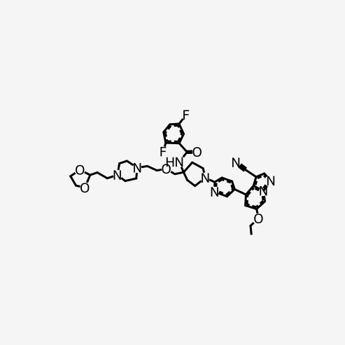 CCOc1cc(-c2ccc(N3CCC(COCCN4CCN(CCC5OCCO5)CC4)(NC(=O)c4cc(F)ccc4F)CC3)nc2)c2c(C#N)cnn2c1